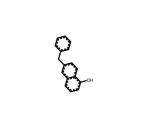 Oc1cccc2cc(Cc3ccccc3)ccc12